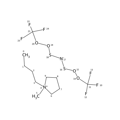 CCCC[N+]1(C)CCCC1.FC(F)(F)OOS[N-]SOOC(F)(F)F